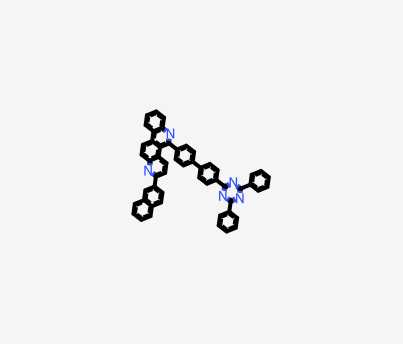 c1ccc(-c2nc(-c3ccccc3)nc(-c3ccc(-c4ccc(-c5nc6ccccc6c6ccc7nc(-c8ccc9ccccc9c8)ccc7c56)cc4)cc3)n2)cc1